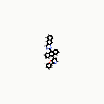 c1ccc2cc3nc(-c4c5ccccc5c(-c5ccnc6c5oc5ccccc56)c5ccccc45)ncc3cc2c1